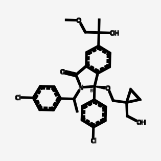 COCC(C)(O)c1ccc2c(c1)C(=O)N(C(C)c1ccc(Cl)cc1)[C@@]2(OCC1(CO)CC1)c1ccc(Cl)cc1